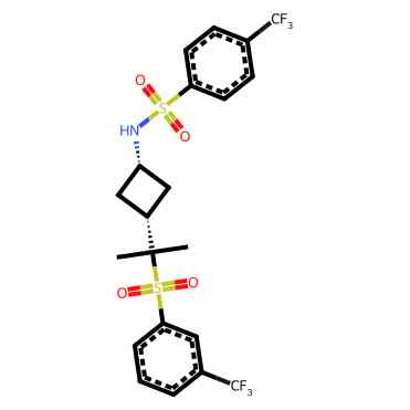 CC(C)([C@H]1C[C@@H](NS(=O)(=O)c2ccc(C(F)(F)F)cc2)C1)S(=O)(=O)c1cccc(C(F)(F)F)c1